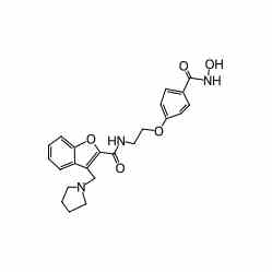 O=C(NO)c1ccc(OCCNC(=O)c2oc3ccccc3c2CN2CCCC2)cc1